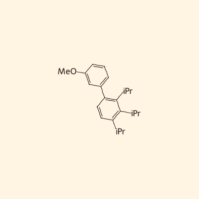 COc1cccc(-c2ccc(C(C)C)c(C(C)C)c2C(C)C)c1